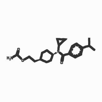 CC(C)c1ccc(C(=O)N(C2CC2)[C@H]2CC[C@H](CCOC(N)=O)CC2)cc1